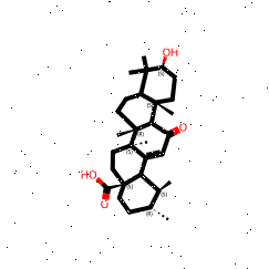 C[C@@H]1CC[C@]2(C(=O)O)CC[C@]3(C)C(=CC(=O)C4[C@@]5(C)CC[C@H](O)C(C)(C)C5CC[C@]43C)C2[C@H]1C